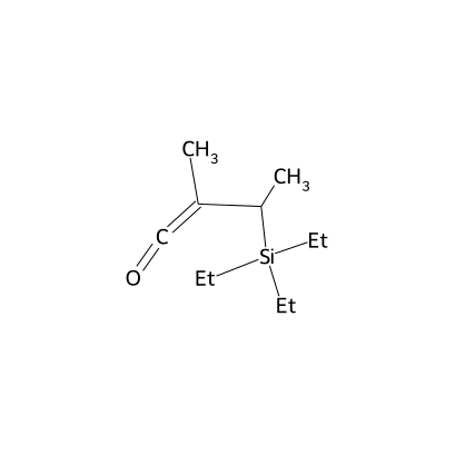 CC[Si](CC)(CC)C(C)C(C)=C=O